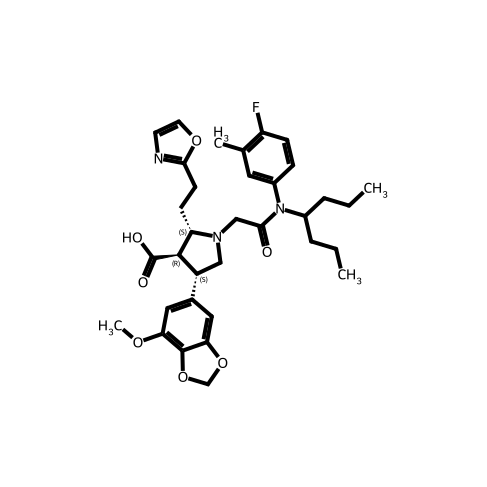 CCCC(CCC)N(C(=O)CN1C[C@H](c2cc(OC)c3c(c2)OCO3)[C@@H](C(=O)O)[C@@H]1CCc1ncco1)c1ccc(F)c(C)c1